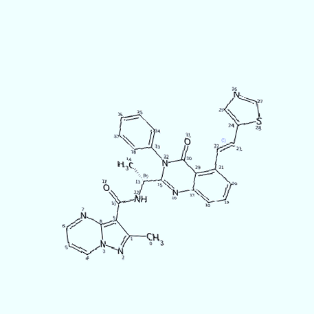 Cc1nn2cccnc2c1C(=O)N[C@H](C)c1nc2cccc(/C=C/c3cncs3)c2c(=O)n1-c1ccccc1